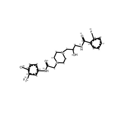 O=C(CN1CCN(CC(O)CNC(=O)c2ccccc2F)CC1)Nc1ccc(Cl)c(C(F)(F)F)c1